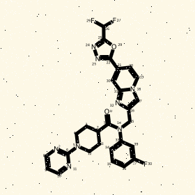 O=C(C1CCN(c2ncccn2)CC1)N(Cc1cn2ccc(-c3nnc(C(F)F)o3)cc2n1)c1cccc(F)c1